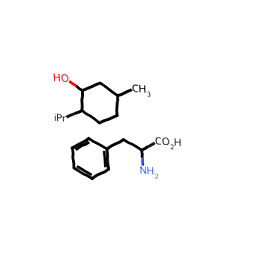 CC1CCC(C(C)C)C(O)C1.NC(Cc1ccccc1)C(=O)O